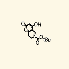 CC(C)(C)OC(=O)N1CCc2oc(=O)cc(O)c2C1